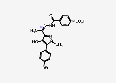 CCCc1ccc(-c2c(O)c(/C(C)=N\NC(=O)c3ccc(C(=O)O)cc3)nn2C)cc1